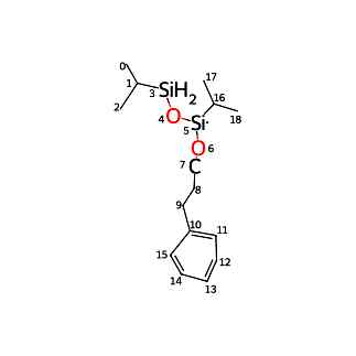 CC(C)[SiH2]O[Si](OCCCc1ccccc1)C(C)C